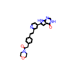 O=C(Cc1ccc(C=Cc2cc(-c3cc4c(=O)[nH]cnc4[nH]3)ccn2)cc1)N1CCOCC1